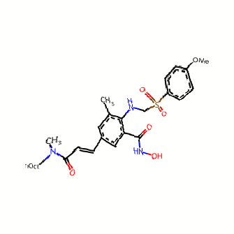 CCCCCCCCN(C)C(=O)C=Cc1cc(C)c(NCS(=O)(=O)c2ccc(OC)cc2)c(C(=O)NO)c1